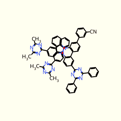 Cc1nc(C)nc(-c2ccc3c(c2)c2ccccc2n3-c2ccc(-c3nc(-c4ccccc4)nc(-c4ccccc4)n3)cc2-c2ccc(-c3cccc(C#N)c3)cc2-n2c3ccccc3c3cc(-c4nc(C)nc(C)n4)ccc32)n1